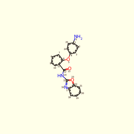 Nc1ccc(Oc2ccccc2C(=O)Nc2nc3ccccc3o2)cc1